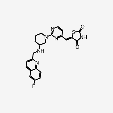 O=C1NC(=O)/C(=C/c2ccnc(N3CCC[C@H](NCc4ccc5cc(F)ccc5n4)C3)n2)S1